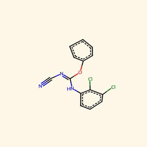 N#C/N=C(\Nc1cccc(Cl)c1Cl)Oc1ccccc1